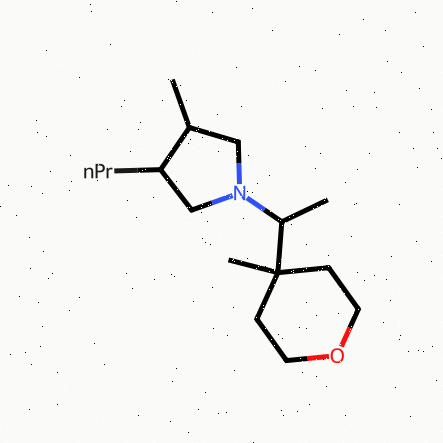 CCCC1CN(C(C)C2(C)CCOCC2)CC1C